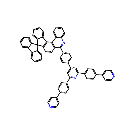 c1ccc2c(c1)-c1ccccc1C21c2ccccc2-c2c1ccc1c(-c3ccc(-c4cc(-c5ccc(-c6ccncc6)cc5)nc(-c5ccc(-c6ccncc6)cc5)c4)cc3)nc3ccccc3c21